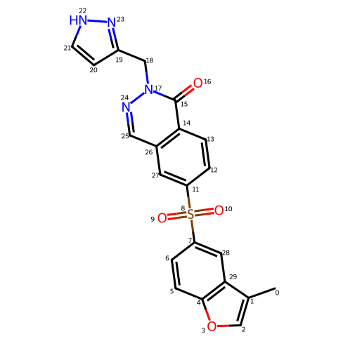 Cc1coc2ccc(S(=O)(=O)c3ccc4c(=O)n(Cc5cc[nH]n5)ncc4c3)cc12